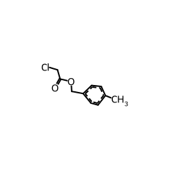 Cc1ccc(COC(=O)CCl)cc1